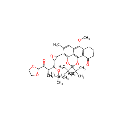 C=C(C(=O)C1OCCO1)C(O[Si](C)(C)C)[C@H]1OC1c1c(C)cc2c(OC)c3c(c4c2c1O[Si](C(C)(C)C)(C(C)(C)C)O4)C(=O)CCC3